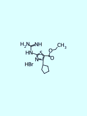 Br.CCOC(=O)c1sc(NC(=N)N)nc1C1CCCC1